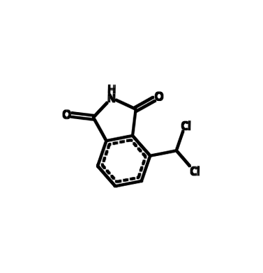 O=C1NC(=O)c2c1cccc2C(Cl)Cl